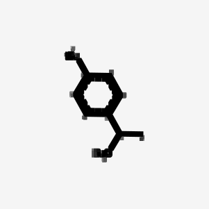 CC(C)COC(C)c1ccc(C(C)(C)C)cc1